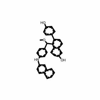 COC(c1ccc(Nc2ccc3ccccc3c2)cc1)c1c(-c2ccc(O)cc2)ccc2cc(O)ccc12